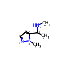 CNC(C)c1ccnn1C